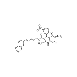 COC(=O)C1=C(C)NC(C)=C(C(=O)OCC=CC=Cc2ccc3ccccc3c2)C1c1cccc([N+](=O)[O-])c1